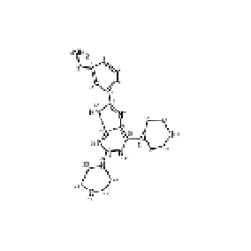 NCc1cccc(-c2nc3c(N4CCOCC4)nc(N4CCOCC4)nc3[nH]2)c1